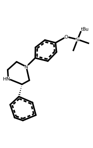 CC(C)(C)[Si](C)(C)Oc1ccc(N2CCN[C@@H](c3ccccc3)C2)cc1